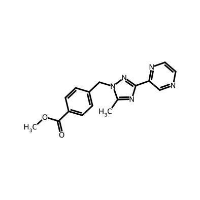 COC(=O)c1ccc(Cn2nc(-c3cnccn3)nc2C)cc1